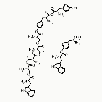 C[C@@H](OC(=O)[C@@H](N)[C@@H](C)OC(=O)[C@@H](N)COC(=O)[C@@H](N)Cc1c[nH]c2ccccc12)[C@H](N)C(=O)OC[C@H](N)C(=O)Oc1ccc(C[C@H](N)C(=O)OC(=O)[C@@H](N)Cc2ccc(O)cc2)cc1.N[C@@H](Cc1ccc(OC(=O)[C@@H](N)Cc2c[nH]c3ccccc23)cc1)C(=O)O